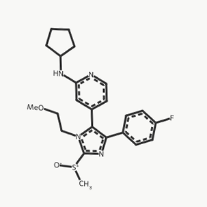 COCCn1c([S+](C)[O-])nc(-c2ccc(F)cc2)c1-c1ccnc(NC2CCCC2)c1